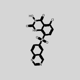 O=c1[nH]c2c(S(=O)(=O)c3ccc4ncncc4c3)ccc(Cl)c2c(=O)n1O